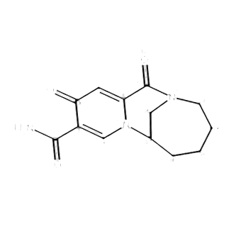 NC(=O)c1cn2c(cc1=O)C(=O)N1CCCCC2C1